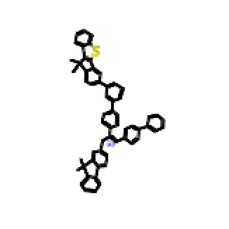 CC1(C)c2ccccc2-c2ccc(C/C(=C/c3ccc(-c4ccccc4)cc3)c3ccc(-c4cccc(-c5ccc6c(c5)-c5sc7ccccc7c5C6(C)C)c4)cc3)cc21